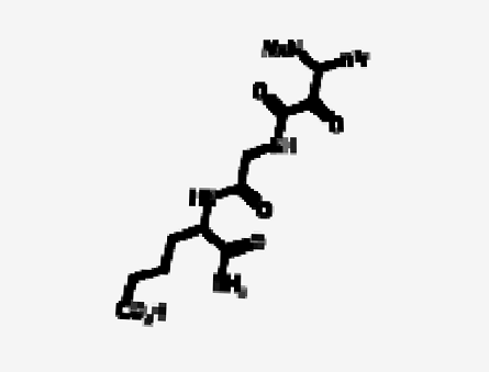 CCCC(NC)C(=O)C(=O)NCC(=O)NC(CCCC(=O)O)C(N)=O